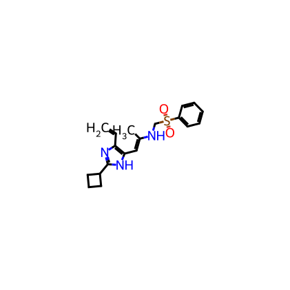 C=Cc1nc(C2CCC2)[nH]c1/C=C(\C)NCS(=O)(=O)c1ccccc1